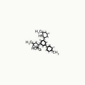 Cc1ccc(-c2cc(C3CCCC(C)N3)cc(C(CC(C)C)C(=O)O)c2)cc1